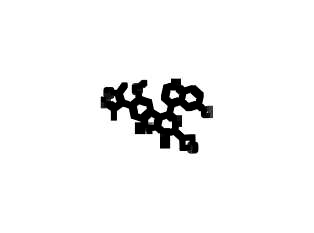 COc1cc2c3c([nH]c2cc1-c1c(C)noc1C)NC(C1COC1)N=C3c1ccnc2ccc(Cl)cc12